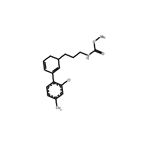 Cc1ccc(C2=CC(CCCNC(=O)OC(C)(C)C)CC=C2)c(Cl)c1